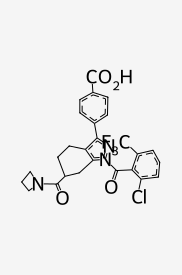 O=C(O)c1ccc(-c2nn(C(=O)c3c(Cl)cccc3C(F)(F)F)c3c2CCC(C(=O)N2CCC2)C3)cc1